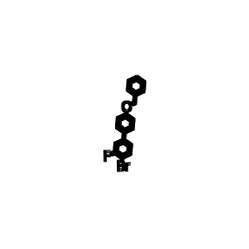 Fc1cc(-c2ccc(OCc3ccccc3)cc2)ccc1Br